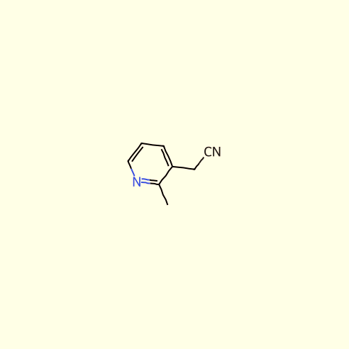 Cc1ncccc1CC#N